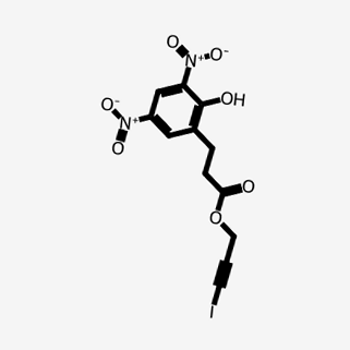 O=C(CCc1cc([N+](=O)[O-])cc([N+](=O)[O-])c1O)OCC#CI